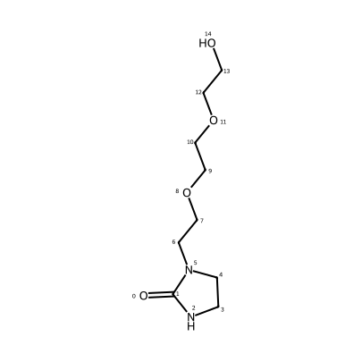 O=C1NCCN1CCOCCOCCO